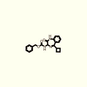 O=C(NC1N=C(C2CCC2)c2ccccc2NC1=O)OCc1ccccc1